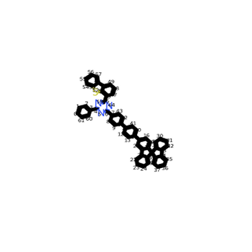 c1ccc(-c2nc(-c3ccc(-c4ccc(-c5ccc6c(c5)-c5ccccc5C65c6ccccc6-c6ccccc65)cc4)cc3)nc(-c3cccc4c3sc3ccccc34)n2)cc1